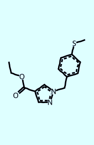 CCOC(=O)c1cnn(Cc2ccc(SC)cc2)c1